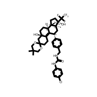 CC1(C)COC2(CCC3=C4[C@@H](CC[C@@]3(O)C2)[C@@H]2CC[C@@](O)(C(F)(F)C(F)(F)F)[C@@]2(C)C[C@@H]4c2ccc(CNC(=O)Nc3ccc(Cl)cc3)cc2)OC1